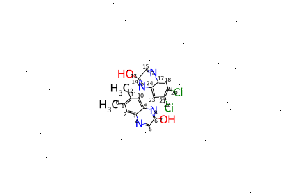 Cc1cc2ncc(O)nc2cc1C.Oc1cnc2cc(Cl)c(Cl)cc2n1